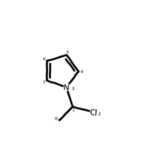 CC(Cl)n1cccc1